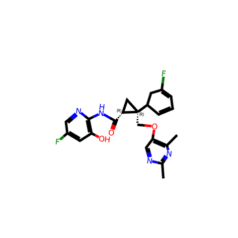 Cc1ncc(OC[C@@]2(C3C=CC=C(F)C3)C[C@H]2C(=O)Nc2ncc(F)cc2O)c(C)n1